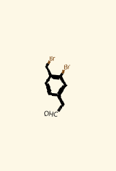 O=CCc1ccc(CBr)c(Br)c1